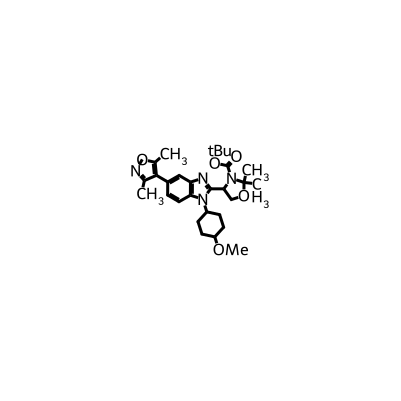 COC1CCC(n2c(C3COC(C)(C)N3C(=O)OC(C)(C)C)nc3cc(-c4c(C)noc4C)ccc32)CC1